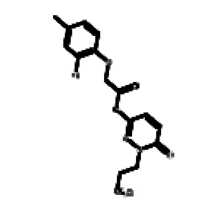 CCOC(=O)CCn1nc(OC(=O)COc2ccc(C)cc2Cl)ccc1=O